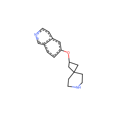 c1cc2cc(OC3CC4(CCNCC4)C3)ccc2cn1